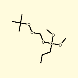 CCC[Si](OC)(OC)OCOOC(C)(C)C